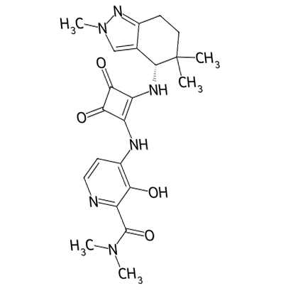 CN(C)C(=O)c1nccc(Nc2c(N[C@@H]3c4cn(C)nc4CCC3(C)C)c(=O)c2=O)c1O